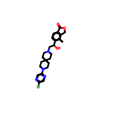 Cc1c([C@@H](O)CN2CCC3(CC2)CCN(c2cnc(Cl)cn2)CC3)ccc2c1COC2=O